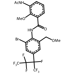 COCc1cc(C(F)(C(F)(F)F)C(F)(F)C(F)(F)F)cc(Br)c1NC(=O)c1cccc(NC(C)=O)c1OC